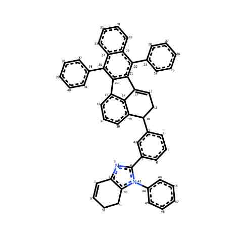 C1=Cc2nc(-c3cccc(C4CC=C5c6c(cccc64)-c4c5c(-c5ccccc5)c5ccccc5c4-c4ccccc4)c3)n(-c3ccccc3)c2CC1